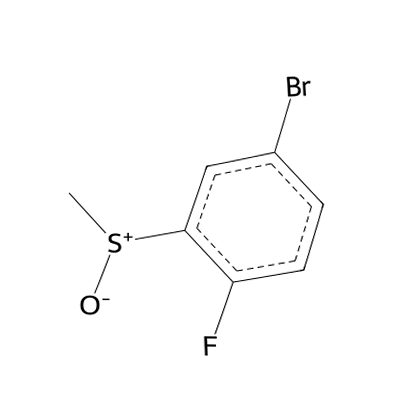 C[S+]([O-])c1cc(Br)ccc1F